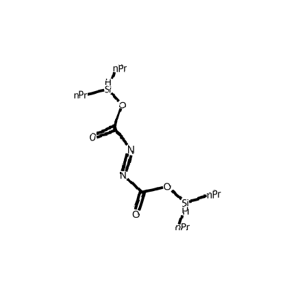 CCC[SiH](CCC)OC(=O)N=NC(=O)O[SiH](CCC)CCC